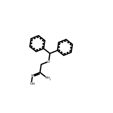 N/C(COC(c1ccccc1)c1ccccc1)=N\O